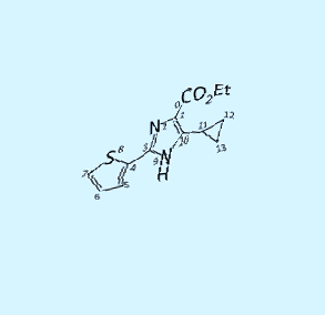 CCOC(=O)c1nc(-c2cccs2)[nH]c1C1CC1